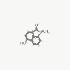 CN1C(=O)c2ccc(O)c3cccc1c23